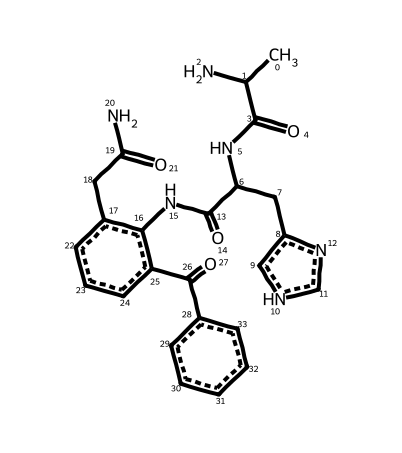 CC(N)C(=O)NC(Cc1c[nH]cn1)C(=O)Nc1c(CC(N)=O)cccc1C(=O)c1ccccc1